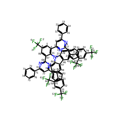 FC(F)(F)c1cc(-c2cc(-c3ccccc3)nc(-c3ccccc3)n2)c(-n2c3ccc(-c4ccc(C(F)(F)F)cc4C(F)(F)F)cc3c3cc(-c4ccc(C(F)(F)F)cc4C(F)(F)F)ccc32)c(-c2nc(-c3ccccc3)cc(-c3ccccc3)n2)c1